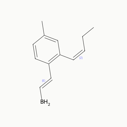 B/C=C/c1ccc(C)cc1/C=C\CC